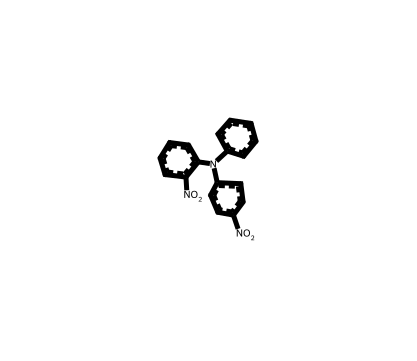 O=[N+]([O-])c1ccc(N(c2ccccc2)c2ccccc2[N+](=O)[O-])cc1